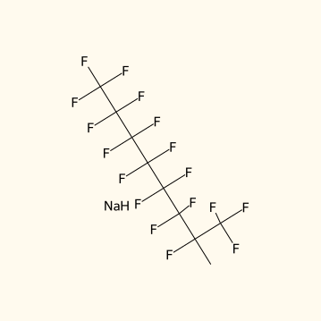 CC(F)(C(F)(F)F)C(F)(F)C(F)(F)C(F)(F)C(F)(F)C(F)(F)C(F)(F)F.[NaH]